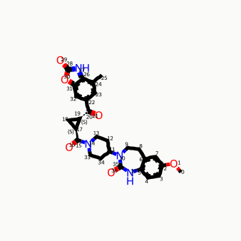 COc1ccc2c(c1)CCN(C1CCN(C(=O)[C@H]3C[C@@H]3C(=O)c3cc(C)c4[nH]c(=O)oc4c3)CC1)C(=O)N2